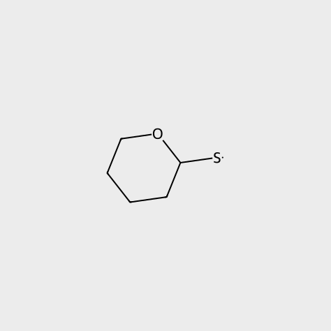 [S]C1CCCCO1